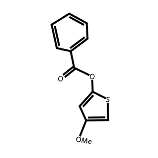 COc1csc(OC(=O)c2ccccc2)c1